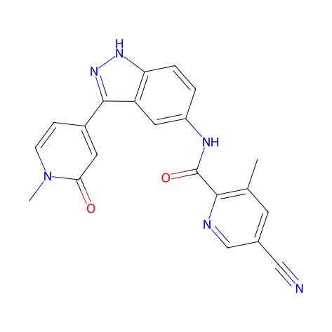 Cc1cc(C#N)cnc1C(=O)Nc1ccc2[nH]nc(-c3ccn(C)c(=O)c3)c2c1